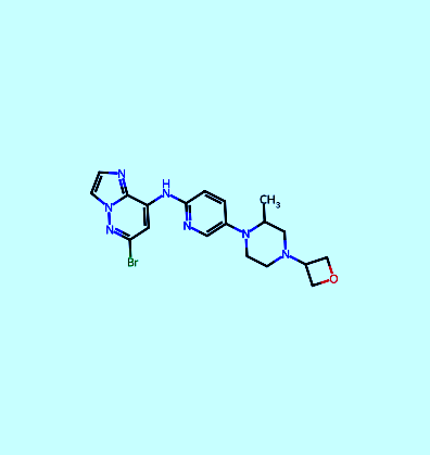 CC1CN(C2COC2)CCN1c1ccc(Nc2cc(Br)nn3ccnc23)nc1